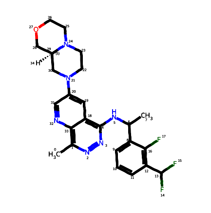 Cc1nnc(NC(C)c2cccc(C(F)F)c2F)c2cc(N3CCN4CCOC[C@@H]4C3)cnc12